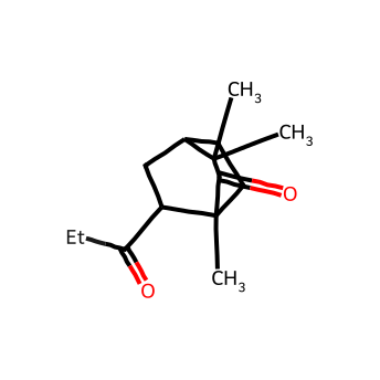 CCC(=O)C1CC2CCC1(C)C(=O)C2(C)C